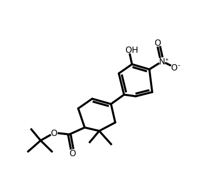 CC(C)(C)OC(=O)C1CC=C(c2ccc([N+](=O)[O-])c(O)c2)CC1(C)C